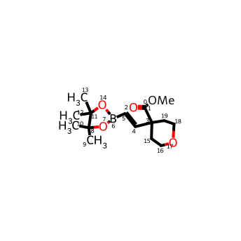 COC(=O)C1(C=CB2OC(C)(C)C(C)(C)O2)CCOCC1